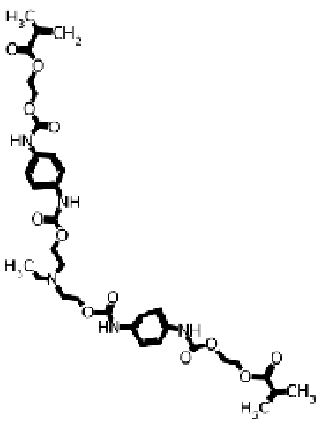 C=C(C)C(=O)OCCOC(=O)Nc1ccc(NC(=O)OCCN(CC)CCOC(=O)Nc2ccc(NC(=O)OCCOC(=O)C(=C)C)cc2)cc1